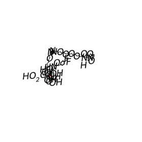 O=C(CCOCCOCCOCCOCCn1cc(COCCCCCCO[C@]2(C(=O)O)C[C@H](O)[C@@H](NC(=O)CO)[C@H]([C@H](O)[C@H](O)CNC(=O)Cc3ccc(C(F)F)cc3)O2)nn1)NCCN1C(=O)C=CC1=O